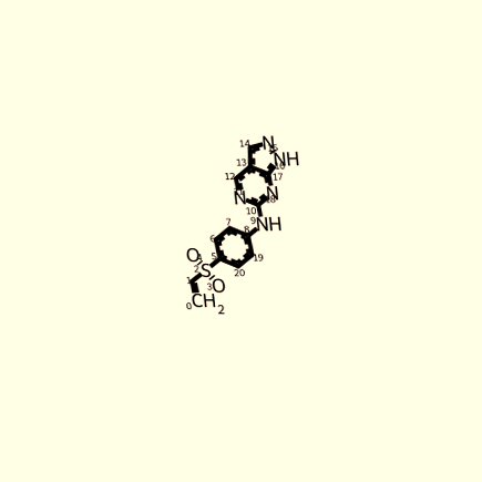 C=CS(=O)(=O)c1ccc(Nc2ncc3cn[nH]c3n2)cc1